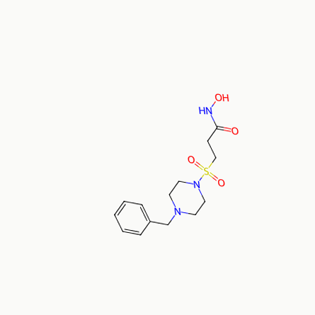 O=C(CCS(=O)(=O)N1CCN(Cc2ccccc2)CC1)NO